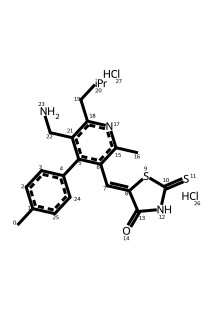 Cc1ccc(-c2c(C=C3SC(=S)NC3=O)c(C)nc(CC(C)C)c2CN)cc1.Cl.Cl